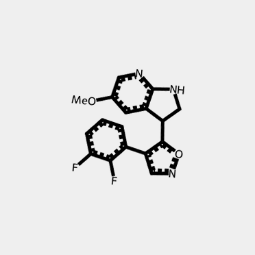 COc1cnc2c(c1)C(c1oncc1-c1cccc(F)c1F)CN2